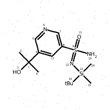 CC(C)(O)c1cncc(S(N)(=O)=N[Si](C)(C)C(C)(C)C)c1